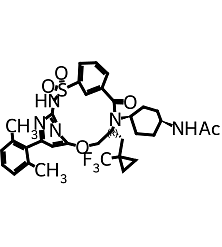 CC(=O)N[C@H]1CC[C@@H](N2C(=O)c3cccc(c3)S(=O)(=O)Nc3nc(cc(-c4c(C)cccc4C)n3)OC[C@H]2CC2(C(F)(F)F)CC2)CC1